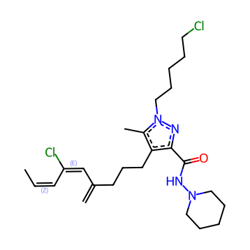 C=C(/C=C(Cl)\C=C/C)CCCc1c(C(=O)NN2CCCCC2)nn(CCCCCCl)c1C